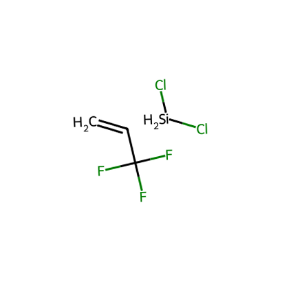 C=CC(F)(F)F.Cl[SiH2]Cl